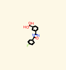 OC(O)c1cccc(-c2noc(-c3ccc(F)cc3)n2)c1